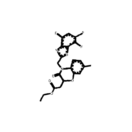 CCOC(=O)CC1Oc2cc(C)ccc2N(Cc2nc3c(F)cc(F)c(F)c3s2)C1=O